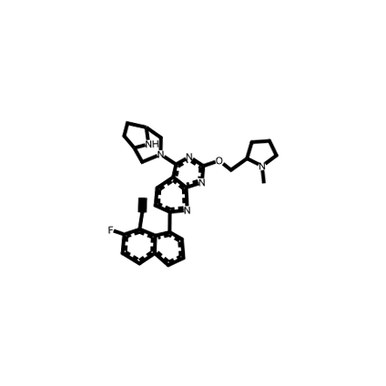 C#Cc1c(F)ccc2cccc(-c3ccc4c(N5CC6CCC(C5)N6)nc(OCC5CCCN5C)nc4n3)c12